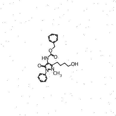 Cn1c(CCCCO)c(NC(=O)OCc2ccccc2)c(=O)n1-c1ccccc1